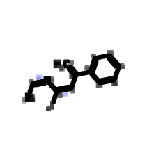 C=C(/C=C(I)\N=C/CC)c1ccccc1